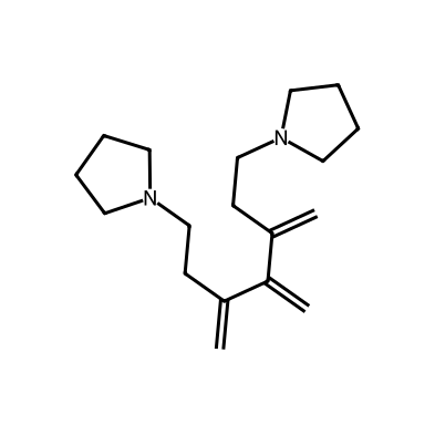 C=C(CCN1CCCC1)C(=C)C(=C)CCN1CCCC1